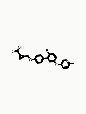 Cc1ccc(Oc2ccc(F)c(-c3ccc(OCC4CC4C(=O)O)cc3)c2)cn1